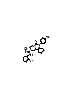 CC(=O)c1ccc(NC(=O)N2CCN(/C(=N\C#N)Nc3ccccc3C)CC2c2ccccc2)cc1